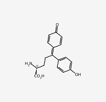 N[C@@H](CCC(=C1C=CC(=O)C=C1)c1ccc(O)cc1)C(=O)O